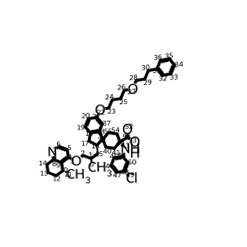 C[C@@H](COc1ccnc2c1[C@H](C)CCC2)C[C@H]1Cc2ccc(OCCCCOCCCc3ccccc3)cc2C12CCC(Nc1cccc(Cl)c1)(C(=O)O)CC2